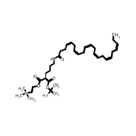 CC/C=C\C/C=C\C/C=C\C/C=C\C/C=C\C/C=C\CCC(=O)NCCCC[C@H](C(=O)OCC[Si](C)(C)C)C(=O)OC(C)(C)C